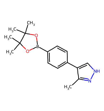 Cc1n[nH]cc1-c1ccc(B2OC(C)(C)C(C)(C)O2)cc1